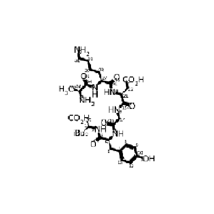 CC[C@H](C)[C@H](NC(=O)[C@H](Cc1ccc(O)cc1)NC(=O)CNC(=O)[C@H](CC(=O)O)NC(=O)[C@H](CCCCN)NC(=O)[C@H](C)N)C(=O)O